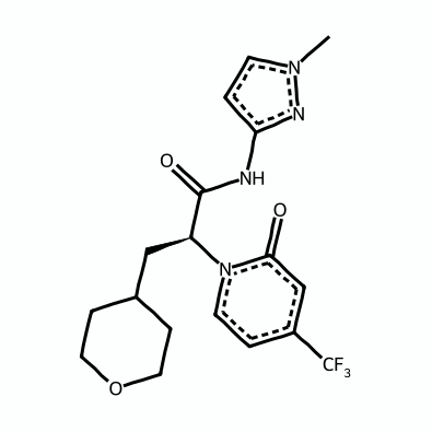 Cn1ccc(NC(=O)[C@H](CC2CCOCC2)n2ccc(C(F)(F)F)cc2=O)n1